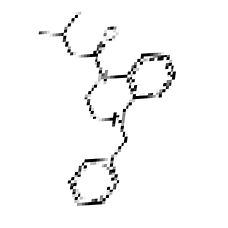 CC(C)CC(=O)N1CCN(Cc2ccccc2)c2ccccc21